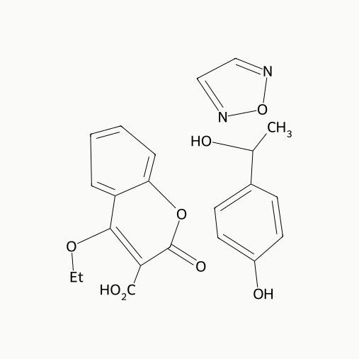 CC(O)c1ccc(O)cc1.CCOc1c(C(=O)O)c(=O)oc2ccccc12.c1cnon1